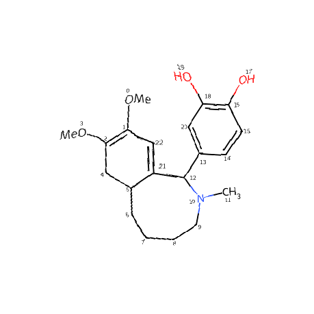 COC1=C(OC)CC2CCCCN(C)C(c3ccc(O)c(O)c3)C2=C1